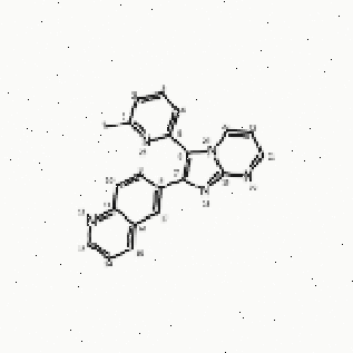 Cc1cccc(-c2c(-c3ccc4ncccc4c3)nc3ncccn23)n1